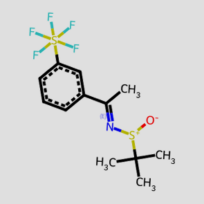 C/C(=N\[S+]([O-])C(C)(C)C)c1cccc(S(F)(F)(F)(F)F)c1